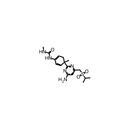 CNC(=O)NC1=CCC(C)(c2nc(N)cc(CS(=O)(=O)C(C)C)n2)C=C1